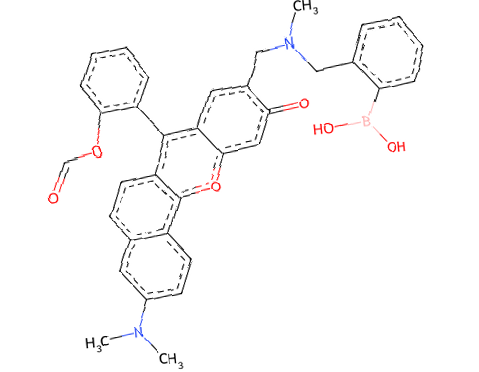 CN(Cc1ccccc1B(O)O)Cc1cc2c(-c3ccccc3OC=O)c3ccc4cc(N(C)C)ccc4c3oc-2cc1=O